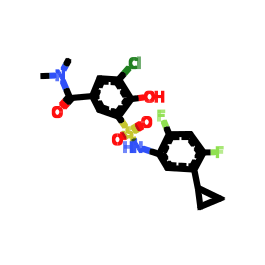 CN(C)C(=O)c1cc(Cl)c(O)c(S(=O)(=O)Nc2cc(C3CC3)c(F)cc2F)c1